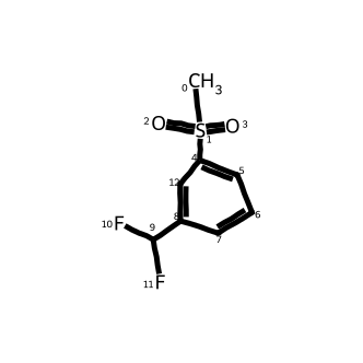 CS(=O)(=O)c1cccc(C(F)F)c1